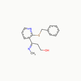 C/N=C(\CCO)c1cccnc1SCc1ccccc1